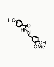 COc1cc(C=NNC(=O)c2ccc(O)cc2)ccc1O